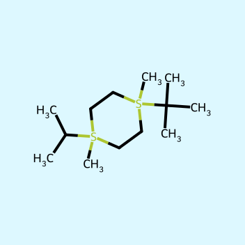 CC(C)S1(C)CCS(C)(C(C)(C)C)CC1